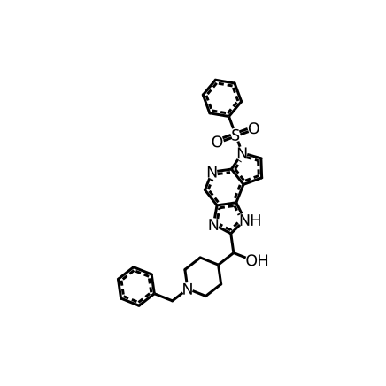 O=S(=O)(c1ccccc1)n1ccc2c3[nH]c(C(O)C4CCN(Cc5ccccc5)CC4)nc3cnc21